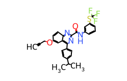 C#CCOc1ccc2nc(C(=O)Nc3cccc(SC(F)(F)F)c3)nc(-c3ccc(C(C)C)cc3)c2c1